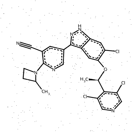 CC1CCN1c1ncc(-c2n[nH]c3cc(Cl)c(O[C@H](C)c4c(Cl)cncc4Cl)cc23)cc1C#N